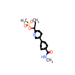 CCC(OS(C)(=O)=O)c1ccc(-c2ccc(C(=O)NC)cc2)cn1